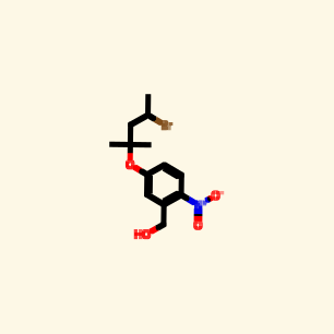 CC(Br)CC(C)(C)Oc1ccc([N+](=O)[O-])c(CO)c1